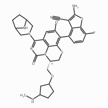 CNC1CCC(OC[C@H]2CSc3c(-c4ccc(F)c5sc(N)c(C#N)c45)c(Cl)cc4c(N5CC6CCC(C5)N6)nc(=O)n2c34)C1